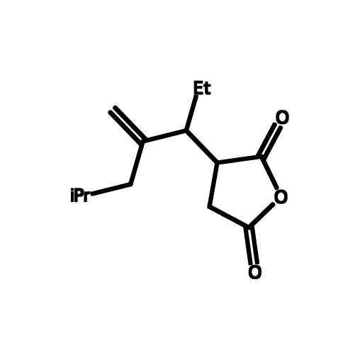 C=C(CC(C)C)C(CC)C1CC(=O)OC1=O